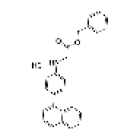 Cl.O=C(CNc1ccc(-c2cccc3ccccc23)cc1)OCc1ccccc1